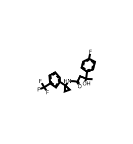 CC(O)(CC(=O)NC1(c2cccc(C(F)(F)F)c2)CC1)c1ccc(F)cc1